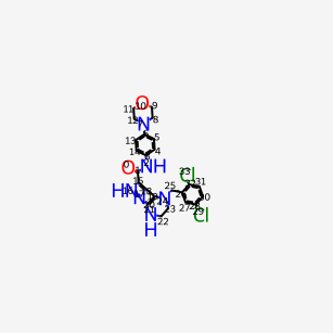 O=C(Nc1ccc(N2CCOCC2)cc1)c1[nH]n2c1C1=C2NCCN1Cc1cc(Cl)ccc1Cl